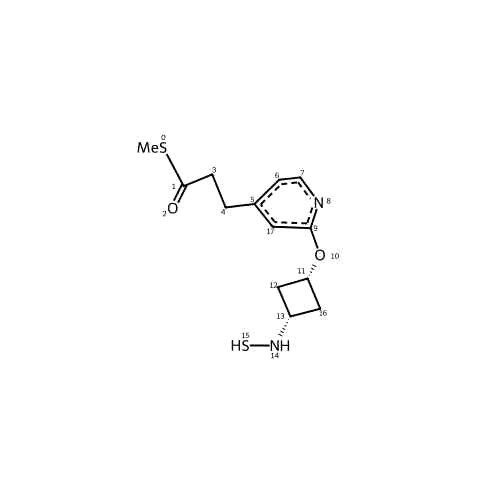 CSC(=O)CCc1ccnc(O[C@H]2C[C@@H](NS)C2)c1